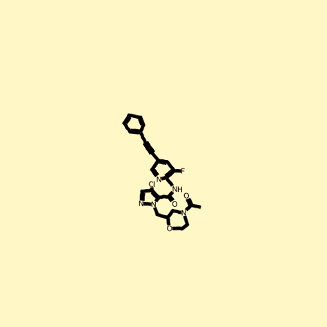 CC(=O)N1CCOC(Cn2ncc(Cl)c2C(=O)Nc2ncc(C#Cc3ccccc3)cc2F)C1